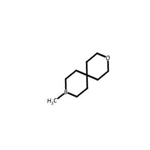 CB1CCC2(CCOCC2)CC1